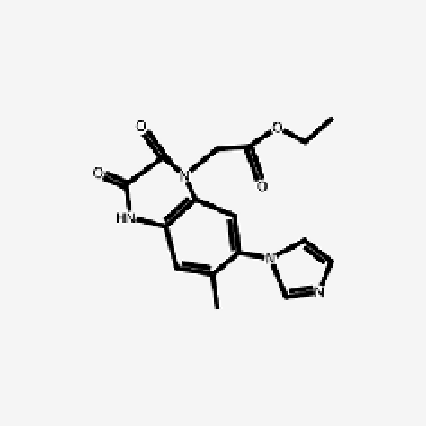 CCOC(=O)Cn1c(=O)c(=O)[nH]c2cc(C)c(-n3ccnc3)cc21